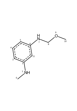 CNc1cccc(NCOC)c1